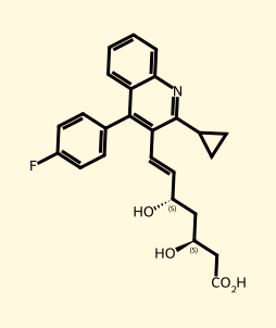 O=C(O)C[C@@H](O)C[C@H](O)C=Cc1c(C2CC2)nc2ccccc2c1-c1ccc(F)cc1